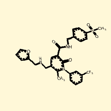 Cc1c(CNCc2ccco2)cc(C(=O)NCc2ccc(S(C)(=O)=O)cc2)c(=O)n1-c1cccc(C(F)(F)F)c1